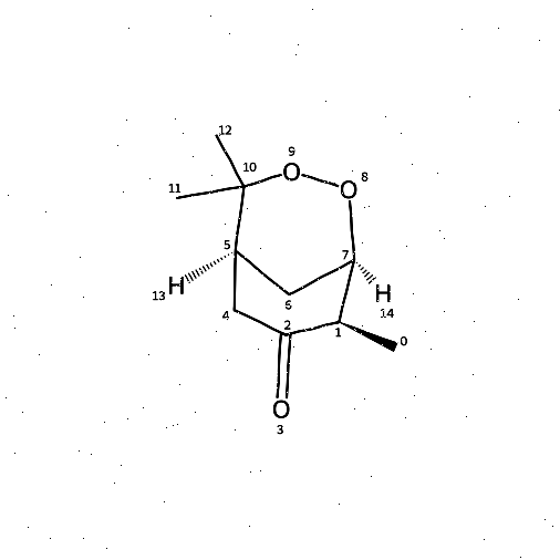 C[C@H]1C(=O)C[C@@H]2C[C@H]1OOC2(C)C